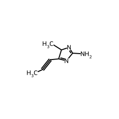 CC#CC1=NC(N)=NC1C